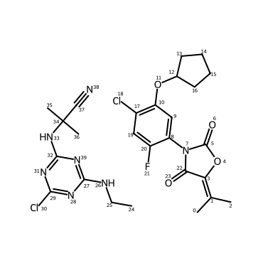 CC(C)=C1OC(=O)N(c2cc(OC3CCCC3)c(Cl)cc2F)C1=O.CCNc1nc(Cl)nc(NC(C)(C)C#N)n1